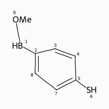 COBc1ccc(S)cc1